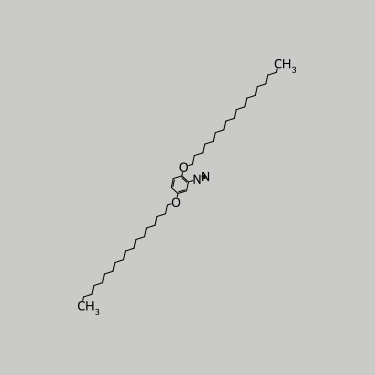 CCCCCCCCCCCCCCCCCCOc1ccc(OCCCCCCCCCCCCCCCCCC)c([N+]#N)c1